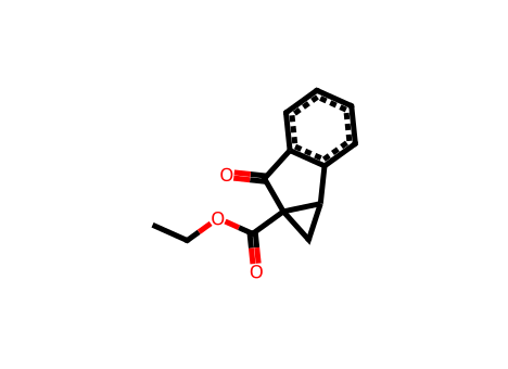 CCOC(=O)C12CC1c1ccccc1C2=O